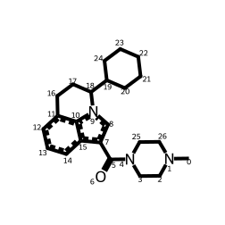 CN1CCN(C(=O)c2cn3c4c(cccc24)CCC3C2CCCCC2)CC1